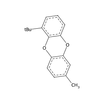 Cc1ccc2c(c1)Oc1cccc(C(C)(C)C)c1O2